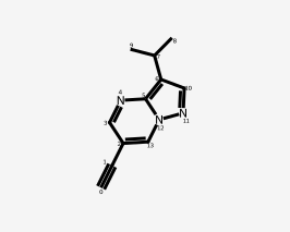 C#Cc1cnc2c(C(C)C)cnn2c1